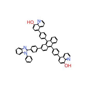 Oc1ccc(-c2ccc(-c3c4ccccc4c(-c4ccc(-c5ccc(O)c6ncccc56)cc4)c4cc(-c5ccc(-c6nc7ccccc7n6-c6ccccc6)cc5)ccc34)cc2)c2cccnc12